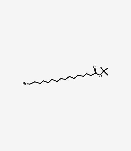 CC(C)(C)OC(=O)CCCCCCCCCCCCCCCBr